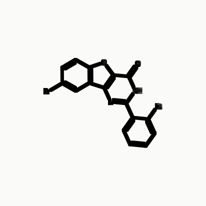 CCc1ccccc1-c1nc2c(oc3ccc(Br)cc32)c(=O)[nH]1